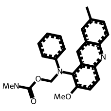 CNC(=O)OCN(c1ccccc1)c1c(OC)ccc2nc3ccc(C)cc3cc12